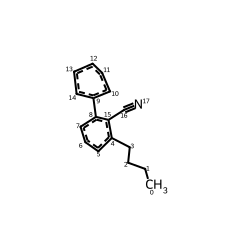 CCCCc1cccc(-c2ccccc2)c1C#N